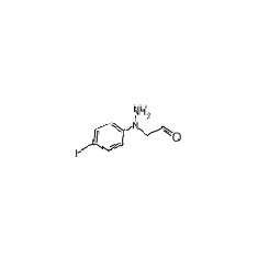 NN(CC=O)c1ccc(I)cc1